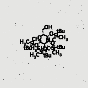 CC(C)(C)[Si](C)(C)O[C@@H]1O[C@H](CO)[C@H](O[Si](C)(C)C(C)(C)C)[C@H](O[Si](C)(C)C(C)(C)C)[C@H]1O[Si](C)(C)C(C)(C)C